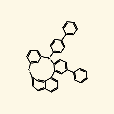 c1ccc(-c2ccc(-n3c4cccc(c4)sc4ccc5cccc(c5c4)c4cc(-c5ccccc5)ccc43)cc2)cc1